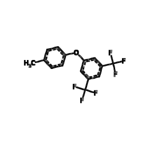 Cc1ccc(Oc2cc(C(F)(F)F)cc(C(F)(F)F)c2)cc1